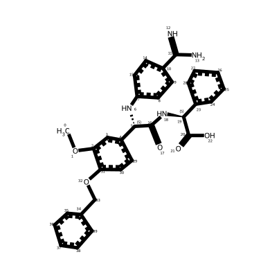 COc1cc([C@H](Nc2ccc(C(=N)N)cc2)C(=O)N[C@H](C(=O)O)c2ccccc2)ccc1OCc1ccccc1